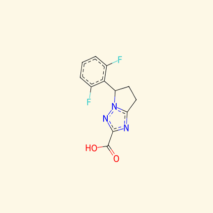 O=C(O)c1nc2n(n1)C(c1c(F)cccc1F)CC2